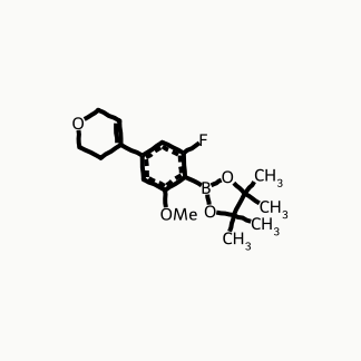 COc1cc(C2=CCOCC2)cc(F)c1B1OC(C)(C)C(C)(C)O1